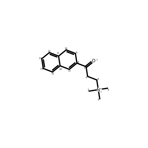 C[N+](C)(C)CCC(=O)c1ccc2ccccc2c1